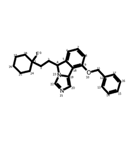 FC1(CCC2c3cccc(OCc4ccccc4)c3-c3cncn32)CCCCC1